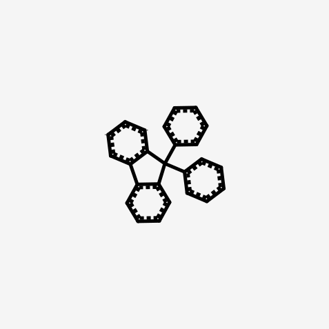 [c]1c[c]c2c(c1)-c1ccccc1C2(c1ccccc1)c1ccccc1